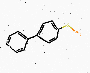 PSc1ccc(-c2ccccc2)cc1